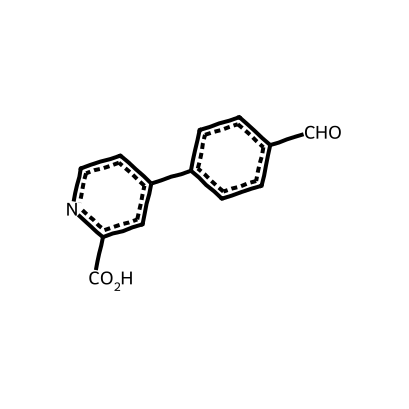 O=Cc1ccc(-c2ccnc(C(=O)O)c2)cc1